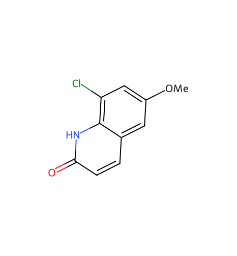 COc1cc(Cl)c2[nH]c(=O)ccc2c1